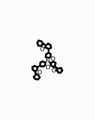 c1ccc2c(c1)oc1c(-c3ccc4c(c3)Oc3cc5c(oc6ccccc65)c5c3N4c3ccc(-c4cccc6c4oc4ccccc46)cc3O5)cccc12